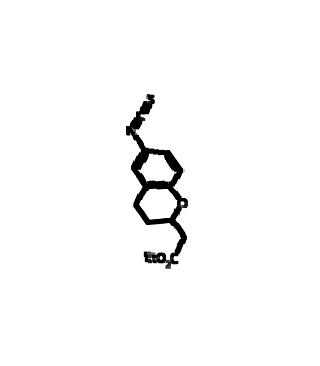 CCOC(=O)CC1CCc2cc(N=C=S)ccc2O1